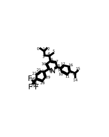 CC(C)CC(C)c1cc(-c2ccc(C(C)C)cc2)nc(-c2ccc(C(F)(F)F)cc2)c1